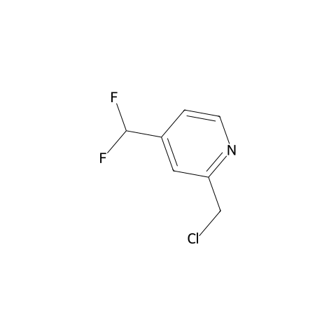 FC(F)c1ccnc(CCl)c1